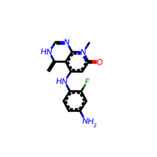 C=C1NC=Nc2c1c(Nc1ccc(N)cc1F)cc(=O)n2C